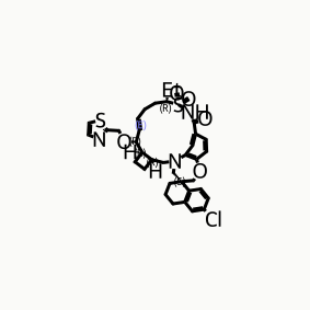 CC[C@@H]1CC/C=C/[C@H](OCc2nccs2)[C@@H]2CC[C@H]2CN2C[C@@]3(CCCc4cc(Cl)ccc43)COc3ccc(cc32)C(=O)NS1(=O)=O